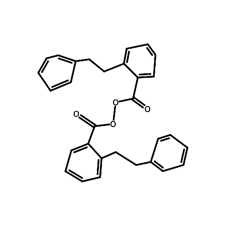 O=C(OOC(=O)c1ccccc1CCc1ccccc1)c1ccccc1CCc1ccccc1